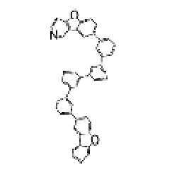 c1cc(-c2cccc(-c3cccc(-c4ccc5oc6ccncc6c5c4)c3)c2)cc(-c2cccc(-c3ccc4oc5ccccc5c4c3)c2)c1